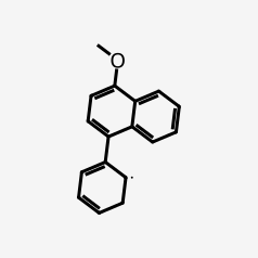 COc1ccc(C2=CC=CC[CH]2)c2ccccc12